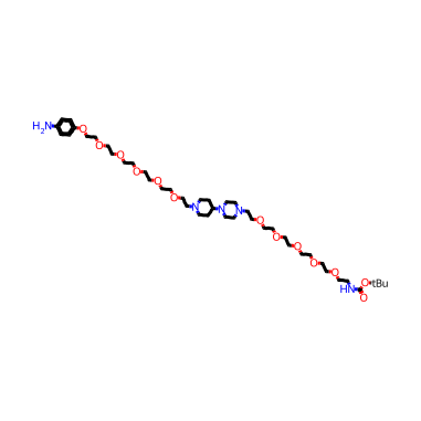 CC(C)(C)OC(=O)NCCOCCOCCOCCOCCOCCN1CCN(C2CCN(CCOCCOCCOCCOCCOCCOc3ccc(N)cc3)CC2)CC1